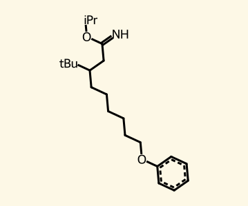 CC(C)OC(=N)CC(CCCCCCOc1ccccc1)C(C)(C)C